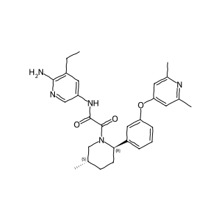 CCc1cc(NC(=O)C(=O)N2C[C@@H](C)CC[C@@H]2c2cccc(Oc3cc(C)nc(C)c3)c2)cnc1N